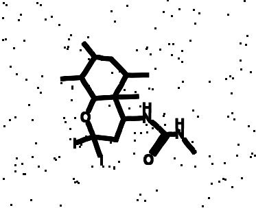 CNC(=O)NC1CC(I)(I)OC2C(C)C(C)CC(C)C12C